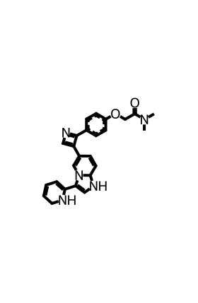 CN(C)C(=O)COc1ccc(C2=NC=C2C2=CN3C(C4=CC=CCN4)=CNC3C=C2)cc1